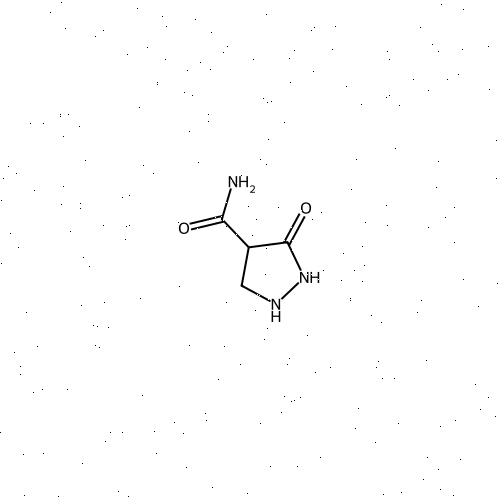 NC(=O)C1CNNC1=O